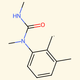 [CH2]c1c(C)cccc1N(C)C(=O)NC